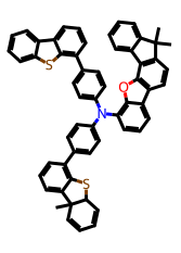 CC1(C)c2ccccc2-c2c1ccc1c2oc2c(N(c3ccc(-c4cccc5c4SC4C=CC=CC54C)cc3)c3ccc(-c4cccc5c4sc4ccccc45)cc3)cccc21